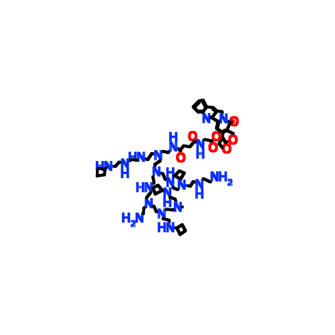 CC[C@]1(OC(=O)CNC(=O)CCC(=O)NCCN(CCNCCNCCNC2CCC2)CCN(CCNCCN(CCN)CCN(CCNC2CCC2)CCN(C)CCNC2CCC2)CCNCCN(CCNCCN)C2CCC2)C(=O)OCc2c1cc1n(c2=O)Cc2cc3ccccc3nc2-1